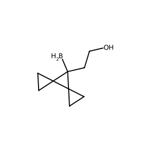 BC1(CCO)C2(CC2)C12CC2